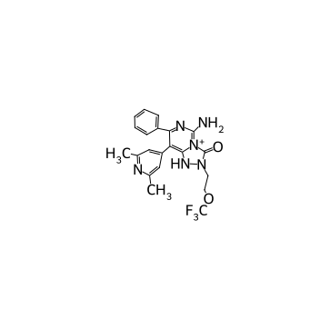 Cc1cc(-c2c(-c3ccccc3)nc(N)[n+]3c(=O)n(CCOC(F)(F)F)[nH]c23)cc(C)n1